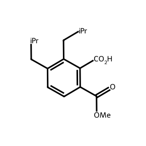 COC(=O)c1ccc(CC(C)C)c(CC(C)C)c1C(=O)O